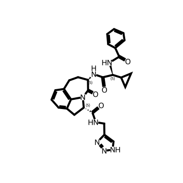 O=C(N[C@H](C(=O)N[C@H]1CCc2cccc3c2N(C1=O)[C@H](C(=O)NCc1c[nH]nn1)C3)C1CC1)c1ccccc1